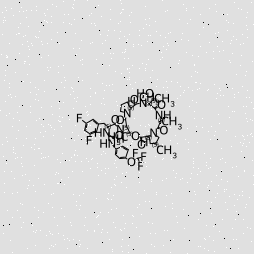 C[C@H]1C[C@H]2C(=O)O[C@@H](C)[C@H](NC(=O)[C@H](Cc3cc(F)cc(F)c3)NC(=O)Nc3ccc(OC(F)(F)F)cc3)C(=O)N3CCC[C@H]3C(=O)N(C)[C@@H]([C@H](C)O)C(=O)N[C@@H](C)C(=O)N2C1